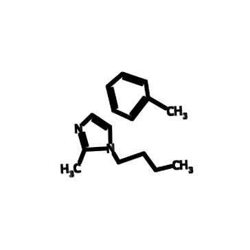 CCCCn1ccnc1C.Cc1ccccc1